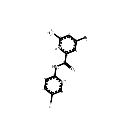 Cc1cc(Br)cc(C(=O)Nc2ccc(F)cn2)n1